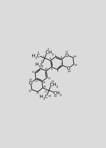 CC(C)(C)c1cc2c(cc1-c1ccc3c(c1)C(C(C)(C)C)CCO3)OCCO2